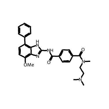 COc1ccc(-c2ccccc2)c2[nH]c(NC(=O)c3ccc(C(=O)N(C)CCN(C)C)cc3)nc12